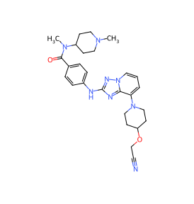 CN1CCC(N(C)C(=O)c2ccc(Nc3nc4c(N5CCC(OCC#N)CC5)cccn4n3)cc2)CC1